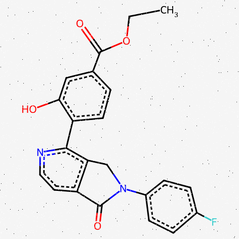 CCOC(=O)c1ccc(-c2nccc3c2CN(c2ccc(F)cc2)C3=O)c(O)c1